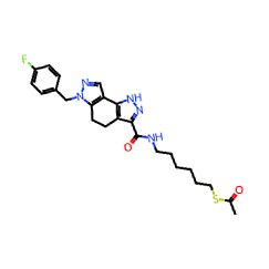 CC(=O)SCCCCCCNC(=O)c1n[nH]c2c1CCc1c-2cnn1Cc1ccc(F)cc1